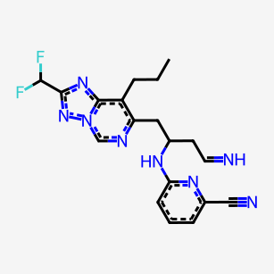 CCCc1c(CC(CC=N)Nc2cccc(C#N)n2)ncn2nc(C(F)F)nc12